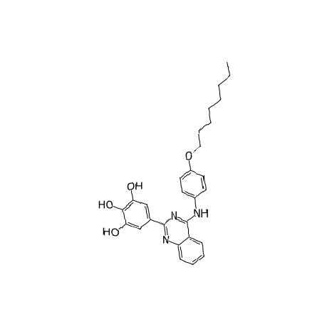 CCCCCCCCOc1ccc(Nc2nc(-c3cc(O)c(O)c(O)c3)nc3ccccc23)cc1